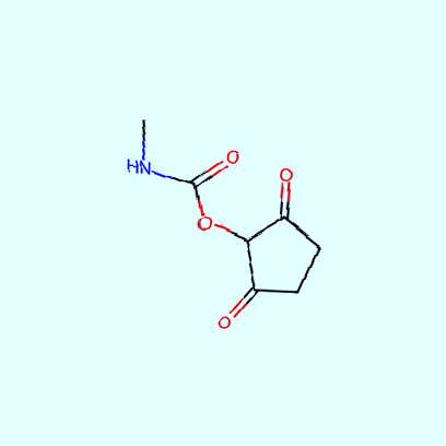 CNC(=O)OC1C(=O)CCC1=O